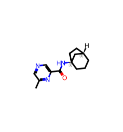 Cc1cncc(C(=O)N[C@@]23CCC[C@@H](CC2)C3)n1